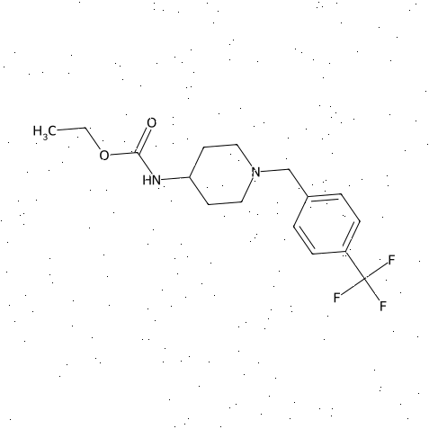 CCOC(=O)NC1CCN(Cc2ccc(C(F)(F)F)cc2)CC1